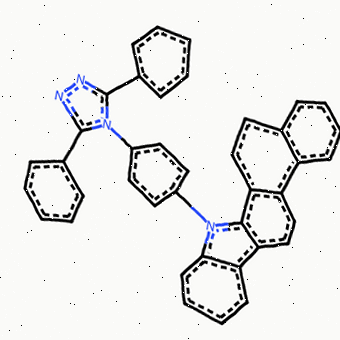 c1ccc(-c2nnc(-c3ccccc3)n2-c2ccc(-n3c4ccccc4c4ccc5c6ccccc6ccc5c43)cc2)cc1